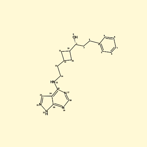 O[C@H](CCc1ccccc1)C1CC(CCNc2ncnc3[nH]ncc23)C1